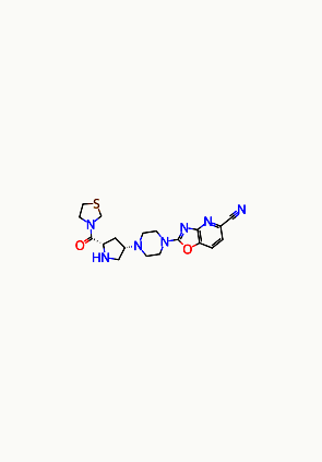 N#Cc1ccc2oc(N3CCN([C@@H]4CN[C@H](C(=O)N5CCSC5)C4)CC3)nc2n1